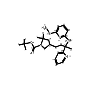 CC(C)(C)OC(=O)N1CC(CCC(C)(Nc2cccc(SN)n2)c2ccccn2)CC1(C)C